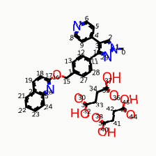 Cn1cc(-c2ccncc2)c(-c2ccc(COc3ccc4ccccc4n3)cc2)n1.O=C(O)CCC(=O)O.O=C(O)CCC(=O)O